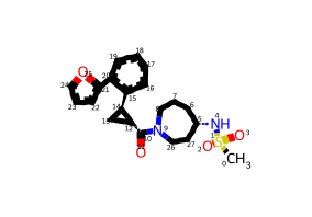 CS(=O)(=O)N[C@H]1CCCN(C(=O)[C@@H]2C[C@H]2c2ccccc2-c2ccco2)CC1